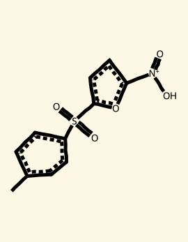 Cc1ccc(S(=O)(=O)c2ccc([N+](=O)O)o2)cc1